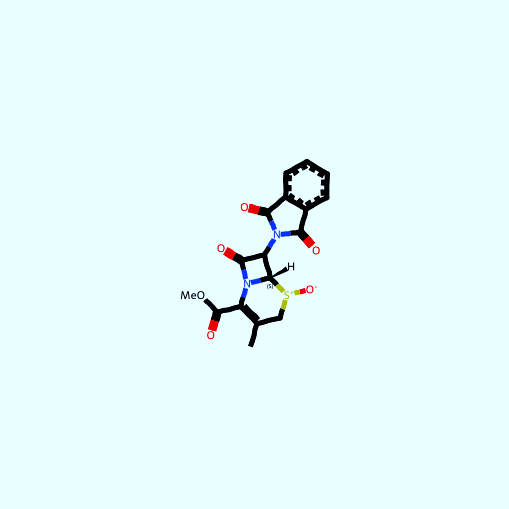 COC(=O)C1=C(C)C[S+]([O-])[C@H]2C(N3C(=O)c4ccccc4C3=O)C(=O)N12